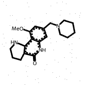 COc1cc(CN2CCCCC2)cc2[nH]c(=O)c3c(c12)NCCC3